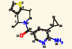 CC1c2ccsc2CCN1C(=O)c1cnc(N)c(C2CC2)c1